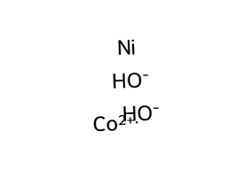 [Co+2].[Ni].[OH-].[OH-]